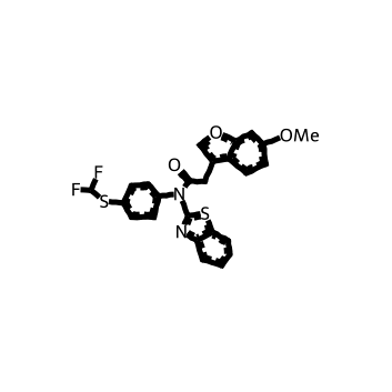 COc1ccc2c(CC(=O)N(c3ccc(SC(F)F)cc3)c3nc4ccccc4s3)coc2c1